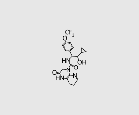 O=C1CN(C(=O)NC(c2ccc(OC(F)(F)F)cc2)C(O)C2CC2)C2=C(CCC=N2)N1